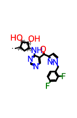 [CH2][C@@H]1C[C@@H](Nc2ncncc2C(=O)c2ccn(Cc3ccc(F)cc3F)n2)[C@H](O)[C@@H]1O